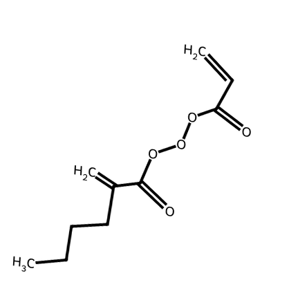 C=CC(=O)OOOC(=O)C(=C)CCCC